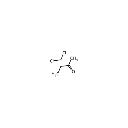 CCC(C)=O.ClCCl